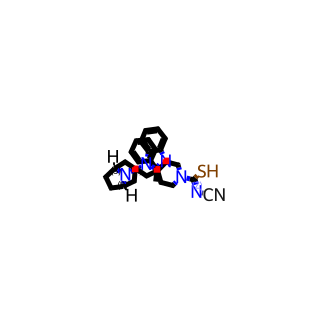 Cc1nc2ccccc2n1[C@H]1C[C@H]2CC[C@@H](C1)N2CCC1(c2ccccc2)CCN(/C(S)=N/C#N)CC1